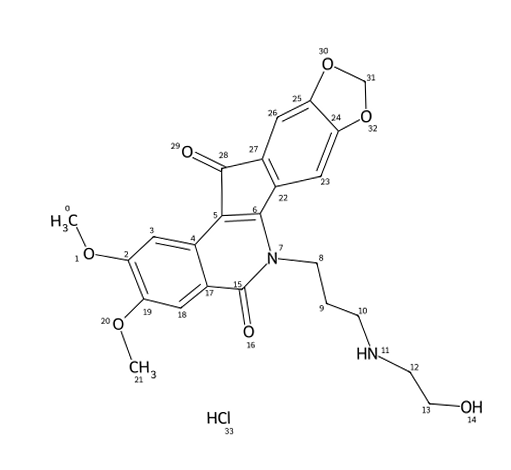 COc1cc2c3c(n(CCCNCCO)c(=O)c2cc1OC)-c1cc2c(cc1C3=O)OCO2.Cl